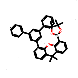 CC1(C)c2cccc(B3OC(C)(C)C(C)(C)O3)c2Oc2c(-c3cc(-c4ccccc4)cc(-c4ccccc4)c3)cccc21